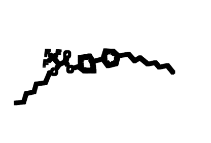 CCCCCCCCc1ccc(-c2ccc(OC(=O)C(OCCCCCCC)C(F)(F)F)cc2)cc1